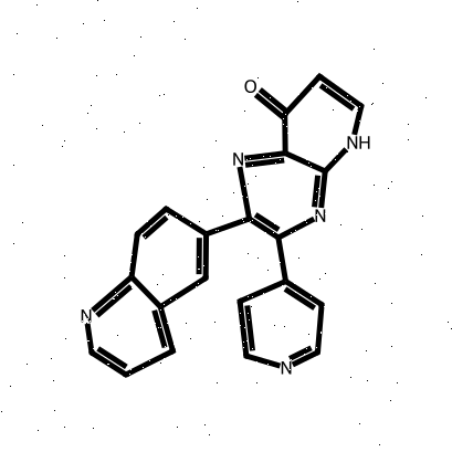 O=c1cc[nH]c2nc(-c3ccncc3)c(-c3ccc4ncccc4c3)nc12